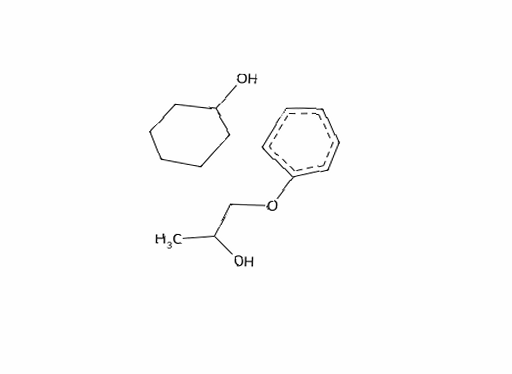 CC(O)COc1ccccc1.OC1CCCCC1